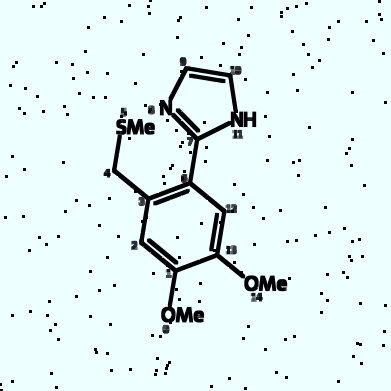 COc1cc(CSC)c(-c2ncc[nH]2)cc1OC